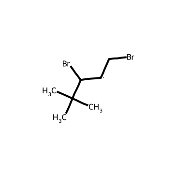 CC(C)(C)C(Br)[CH]CBr